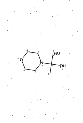 CC(O)(C=O)N1CCOCC1